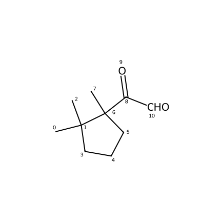 CC1(C)CCCC1(C)C(=O)C=O